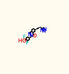 O=c1c2cc(C#CCC3C=NN=N3)ccc2cnn1Cc1cc(F)c(O)c(F)c1